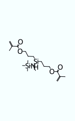 C=C(C)C(=O)OCCC[SiH](CCCOC(=O)C(=C)C)N(C)[Si](C)(C)C